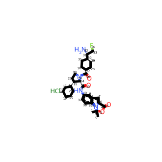 CC1(C)OC(=O)c2cc3cc(NC(=O)[C@@H]4[C@H](C5CCCCC5)CCN4C(=O)[C@H]4CC[C@H]([C@H](N)CF)CC4)ccc3n21.Cl